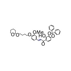 COc1cc(/C=C/C(=O)c2ccc3c(c2O)OC(c2ccccc2)(c2ccccc2)O3)ccc1OCCCCOC1CCCCO1